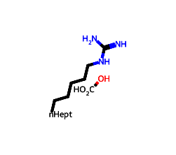 CCCCCCCCCCCCNC(=N)N.O=C(O)O